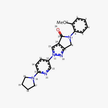 COc1ccccc1N1Cc2nn(-c3ccc(N4CCCC4)nc3)cc2C1=O